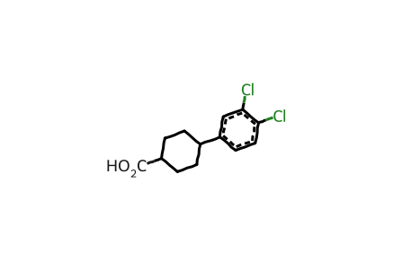 O=C(O)C1CCC(c2ccc(Cl)c(Cl)c2)CC1